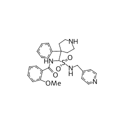 COc1ccccc1C(=O)NC(C1(c2ccccc2)CCNCC1)S(=O)(=O)NCc1ccncc1